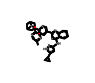 Cc1cnc(CN2C3CC2CN(c2ccc(-c4nc(Nc5cc(C6CC6)[nH]n5)c5ccccc5n4)cn2)C3)cn1